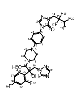 C[C@@H](N1CCN(c2ccc(-n3cnn(CC(F)(F)C(F)F)c3=O)cc2)CC1)[C@](O)(Cn1cncn1)c1ccc(F)cc1F